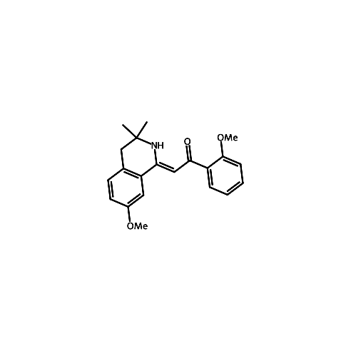 COc1ccc2c(c1)C(=CC(=O)c1ccccc1OC)NC(C)(C)C2